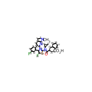 Cn1ccc2cc(-c3ccc(F)cc3-c3nc(N(C(=O)C(CC(=O)O)Cc4ccccc4)C4CC4)sc3F)cnc21